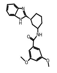 COc1cc(OC)cc(C(=O)NC2CCC[C@H](c3nc4ccccc4[nH]3)C2)c1